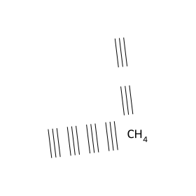 C.C#C.C#C.C#C.C#C.C#C.C#C